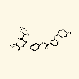 COC(=O)C(=O)N[C@H](Cc1ccc(OC(=O)c2cccc(CN3CCNCC3)c2)cc1)C(=O)OC